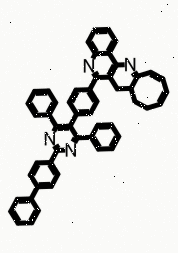 C1=C\CCC2Cc3c(-c4ccc(-c5c(-c6ccccc6)nc(-c6ccc(-c7ccccc7)cc6)nc5-c5ccccc5)cc4)nc4ccccc4c3N=C2\C=C/1